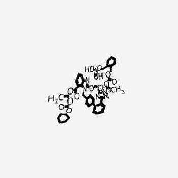 CCOc1nc2cccc(C(=O)OC(C)OC(=O)OC3CCCCC3)c2n1Cc1ccc(-c2ccccc2-c2nnn(C(C)OC(=O)OCc3ccccc3CON(O)O)n2)cc1